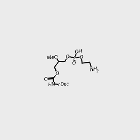 CCCCCCCCCCNC(=O)OCC(COP(=O)(O)OCCN)OC